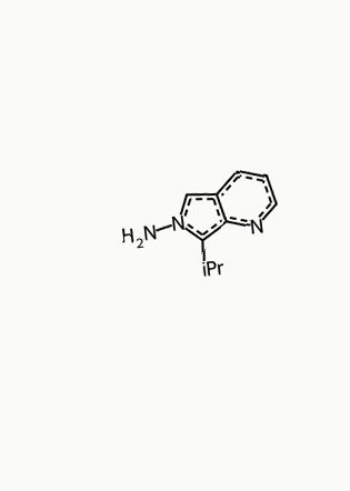 CC(C)c1c2ncccc2cn1N